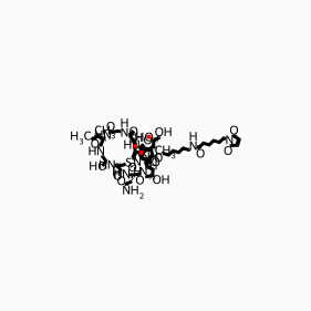 CC[C@H](C)[C@@H]1NC(=O)CNC(=O)[C@H]2Cc3c([nH]c4cc(OCCCCCCNC(=O)CCCCCN5C(=O)C=CC5=O)ccc34)[S+]([O-])C[C@H](NC(O)CNC1=O)C(=O)N[C@@H](CC(N)=O)C(=O)N1C[C@H](O)C[C@H]1C(=O)N[C@@H]([C@@H](C)[C@@H](O)CO)C(=O)N2